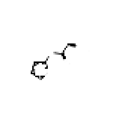 C=CC(=O)Oc1ccco1.Cl